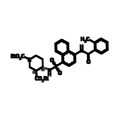 CCOC(=O)[C@H]1CN(C(=O)OCC)CC[C@@H]1NS(=O)(=O)c1ccc(NC(=O)c2ccccc2C)c2ccccc12